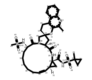 Cc1nc2ccccc2c2c1O[C@]1(CC2)C[C@H]2C(=O)N[C@]3(C(=O)NS(=O)(=O)C4(C)CC4)C[C@H]3C=CCCCCC[C@H](NS(C)(=O)=O)C(=O)N2C1